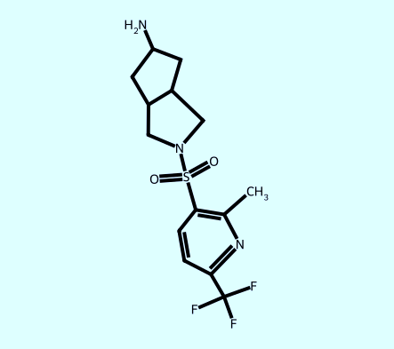 Cc1nc(C(F)(F)F)ccc1S(=O)(=O)N1CC2CC(N)CC2C1